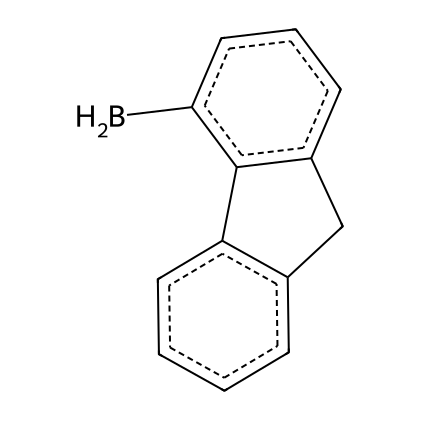 Bc1cccc2c1-c1ccccc1C2